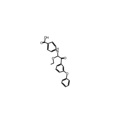 CCOC(Nc1ccc(C(=O)O)cc1)C(=O)c1cccc(Oc2ccccc2)c1